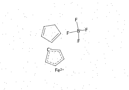 C1=CCC=C1.F[B-](F)(F)F.[Fe+2].c1cc[cH-]c1